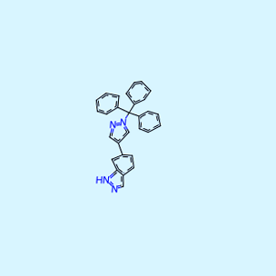 c1ccc(C(c2ccccc2)(c2ccccc2)n2cc(-c3ccc4cn[nH]c4c3)cn2)cc1